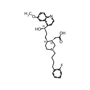 COc1ccc2nccc([C@H](O)CC[C@@H]3CCN(CCCCc4ccccc4F)C[C@@H]3CC(=O)O)c2c1